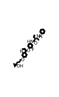 C=C/C(C(=O)Nc1ccc(Oc2ccnc3cc(OCCCC4(O)CC4)ccc23)c(F)c1)=C(/C)N(C)N(C)c1ccccc1